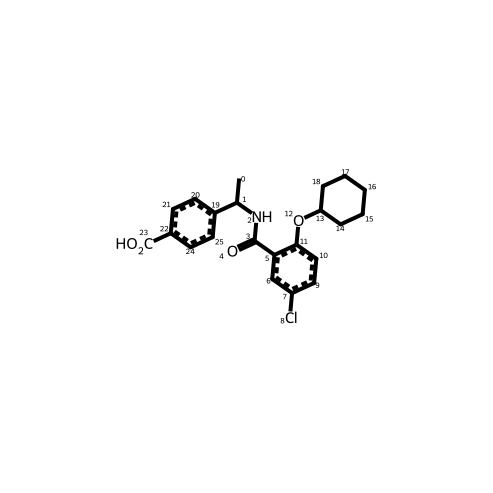 CC(NC(=O)c1cc(Cl)ccc1OC1CCCCC1)c1ccc(C(=O)O)cc1